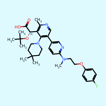 Cc1ncc(-c2ccc(N(C)CCOc3ccc(F)cc3)nc2)c(N2CCC(C)(C)CC2)c1[C@H](OC(C)(C)C)C(=O)O